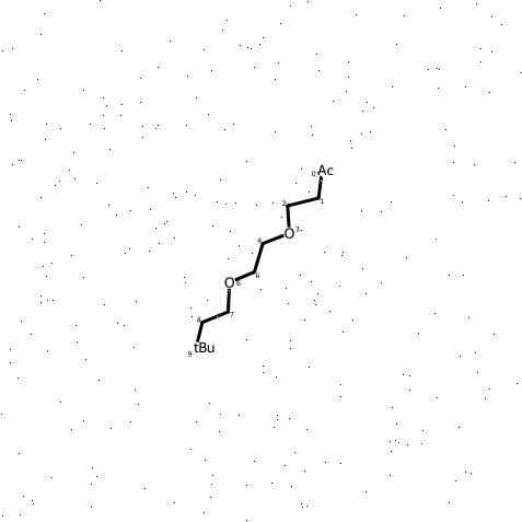 CC(=O)CCOCCOCCC(C)(C)C